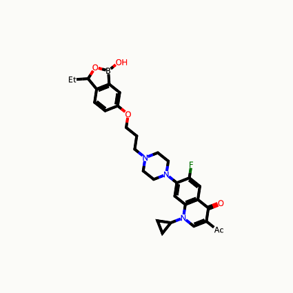 CCC1OB(O)c2cc(OCCCN3CCN(c4cc5c(cc4F)c(=O)c(C(C)=O)cn5C4CC4)CC3)ccc21